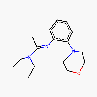 CCN(CC)/C(C)=N/c1ccccc1N1CCOCC1